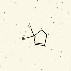 BrC1(Br)C=CCC1